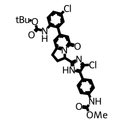 COC(=O)Nc1ccc(-c2[nH]c(C3CCc4cc(-c5cc(Cl)ccc5NC(=O)OC(C)(C)C)cc(=O)n43)nc2Cl)cc1